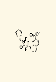 O=C(N(F)Cc1ccccc1)C(F)(F)C1CCCc2ccc([N+](=O)[O-])cc21